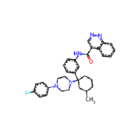 CC1CCCC(c2cccc(NC(=O)c3cnnc4ccccc34)c2)(N2CCN(c3ccc(F)cc3)CC2)C1